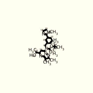 Cc1nn2c(N(Cc3cccc(-c4nccn4C)c3)C(=O)OC(C)(C)C)cc(C(C)O)nc2c1C